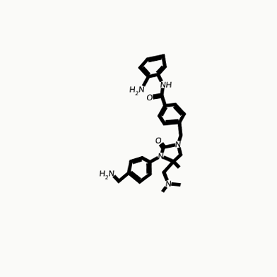 CN(C)CC1(C)CN(Cc2ccc(C(=O)Nc3ccccc3N)cc2)C(=O)N1c1ccc(CN)cc1